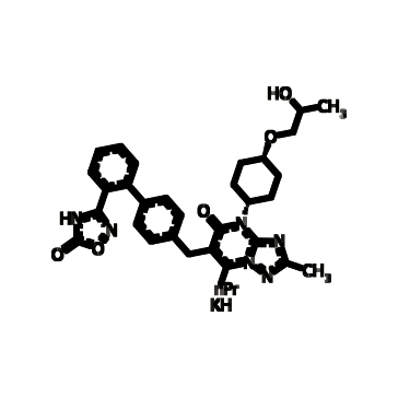 CCCc1c(Cc2ccc(-c3ccccc3-c3noc(=O)[nH]3)cc2)c(=O)n([C@H]2CC[C@H](OCC(C)O)CC2)c2nc(C)nn12.[KH]